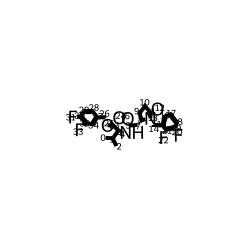 CC(C)[C@H](NC(=O)C[C@@H]1CCC(=O)N1Cc1cccc(F)c1F)C(=O)OCc1ccc(F)c(F)c1